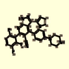 N#Cc1c(-c2c(F)ccc(F)c2F)nc2[nH]nc(-c3cccs3)c2c1-c1ccc(N2CCNCC2)cc1